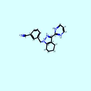 N#Cc1cccc(Cn2nc(-c3ncccn3)c3c2CCCC3)c1